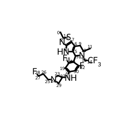 Cc1nc2[nH]c3c(c2s1)CC(C)N(CC(F)(F)F)C3c1c(F)cc(NC2CN(CCCF)C2)cc1F